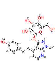 CC(C)n1nc(O[C@@H]2O[C@H](CO)[C@@H](O)[C@H](O)[C@H]2O)c2c(CCc3ccc(O)cc3)ccnc21